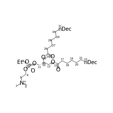 C=[N+](C)CCOP(=O)(OCC)OC[C@@H](COC(=O)CCCCCCCCCCCCCCC)OC(=O)CCCCCCCCCCCCCCC